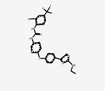 CCNc1ncc(-c2ccc(Oc3ccc(NC(=O)Nc4ccc(C(F)(F)F)cc4Cl)cn3)cc2)s1